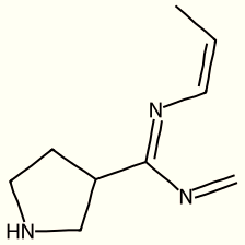 C=N/C(=N\C=C/C)C1CCNC1